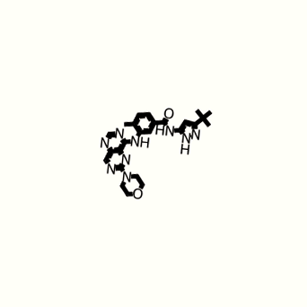 Cc1ccc(C(=O)Nc2cc(C(C)(C)C)n[nH]2)cc1Nc1ncnc2cnc(N3CCOCC3)nc12